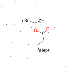 CCCCCCCCCC(=O)OC(C)CCCC